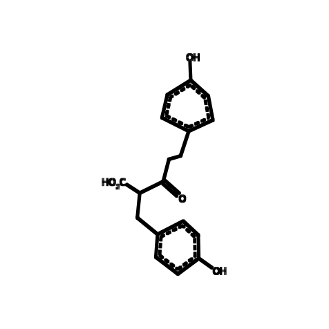 O=C(O)C(Cc1ccc(O)cc1)C(=O)CCc1ccc(O)cc1